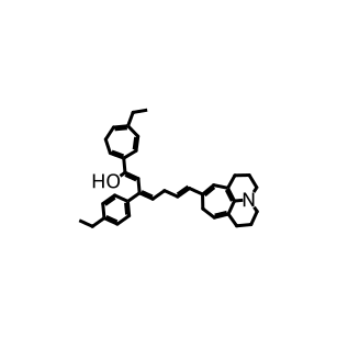 CCC1=CCC=C(/C(O)=C/C(=C\C/C=C/C2=CC3=C4C(=CC2)CCCN4CCC3)c2ccc(CC)cc2)C=C1